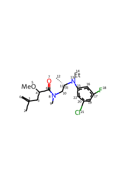 C=C(C)CC(OC)C(=O)N(C)C[C@H](C)N(CC)c1cc(F)cc(Cl)c1